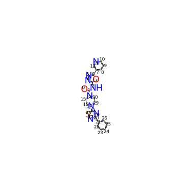 O=C(Nc1nnc(-c2cccnc2)o1)N1CCN(c2nc(-c3ccccc3)ns2)CC1